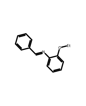 CCOc1ccccc1N=Cc1ccccc1